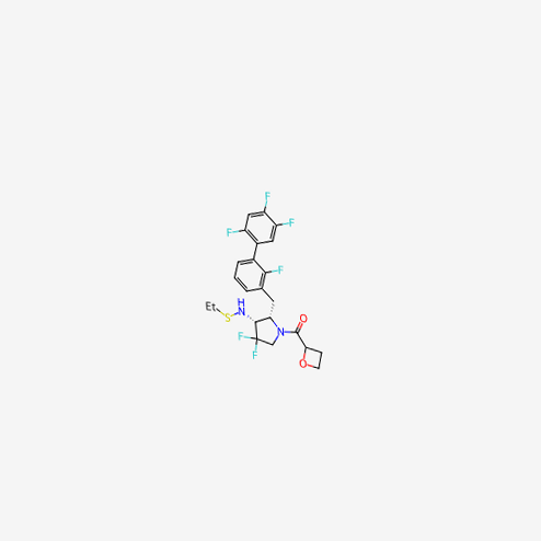 CCSN[C@@H]1[C@H](Cc2cccc(-c3cc(F)c(F)cc3F)c2F)N(C(=O)C2CCO2)CC1(F)F